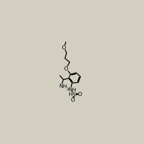 COCCCOc1cccc(N[SH](=O)=O)c1C(C)N